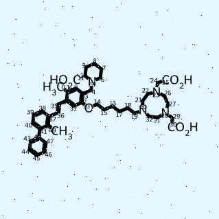 Cc1cc(CN2CCCC[C@H]2C(=O)O)c(OCCCCCCN2CCN(CC(=O)O)CCN(CC(=O)O)CC2)cc1/C=C/c1cccc(-c2ccccc2)c1C